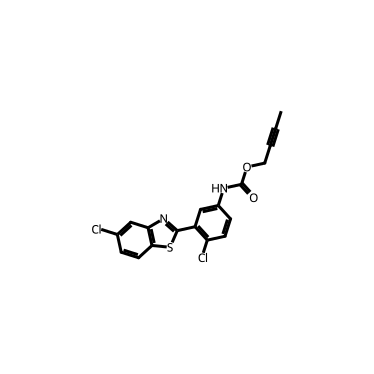 CC#CCOC(=O)Nc1ccc(Cl)c(-c2nc3cc(Cl)ccc3s2)c1